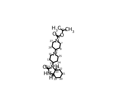 CC(C)OC(=O)N1CCC(N2CCC(N3C(=O)N[C@H]4CCCC[C@H]43)CC2)CC1